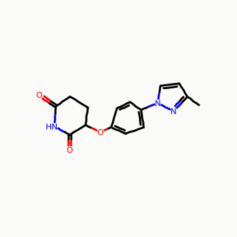 Cc1ccn(-c2ccc(OC3CCC(=O)NC3=O)cc2)n1